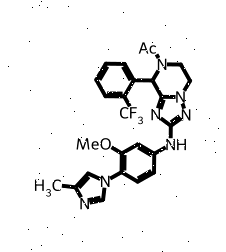 COc1cc(Nc2nc3n(n2)CCN(C(C)=O)C3c2ccccc2C(F)(F)F)ccc1-n1cnc(C)c1